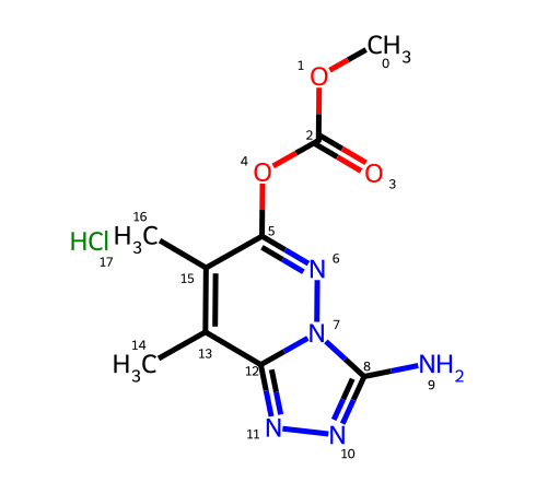 COC(=O)Oc1nn2c(N)nnc2c(C)c1C.Cl